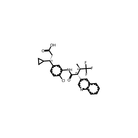 C[C@H]([C@@H](C(=O)Nc1cc([C@@H](CC(=O)O)C2CC2)ccc1Cl)c1cnc2ccccc2c1)C(F)(F)F